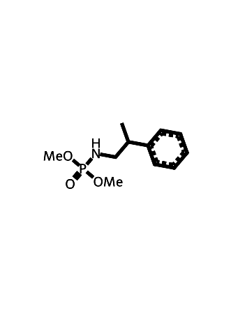 COP(=O)(NCC(C)c1ccccc1)OC